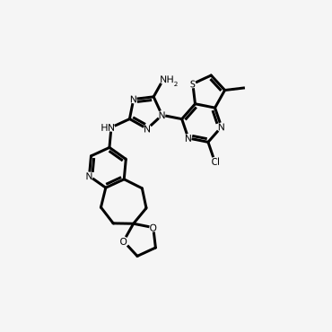 Cc1csc2c(-n3nc(Nc4cnc5c(c4)CCC4(CC5)OCCO4)nc3N)nc(Cl)nc12